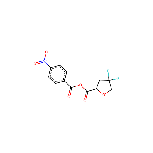 O=C(OC(=O)C1CC(F)(F)CO1)c1ccc([N+](=O)[O-])cc1